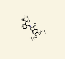 CNC(=O)c1cnccc1/C=C1\Cc2cc(OC)c(OC)cc2C1=O